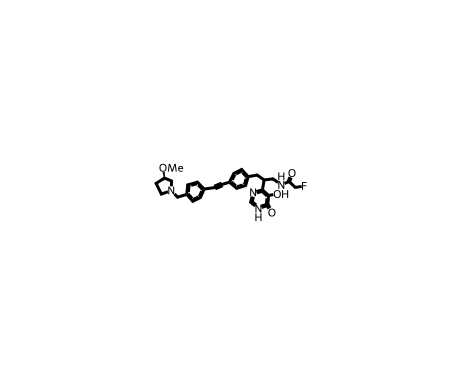 CO[C@@H]1CCN(Cc2ccc(C#Cc3ccc(CC(CNC(=O)CF)c4nc[nH]c(=O)c4O)cc3)cc2)C1